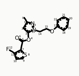 Cc1cc(OC(=O)c2sccc2F)n(CCOc2ccccc2)n1